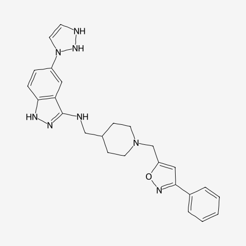 C1=CN(c2ccc3[nH]nc(NCC4CCN(Cc5cc(-c6ccccc6)no5)CC4)c3c2)NN1